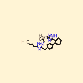 CCCCc1nc(Cc2ccc(-c3ccccc3-c3nnn[nH]3)cc2)n(CC(C)C)n1